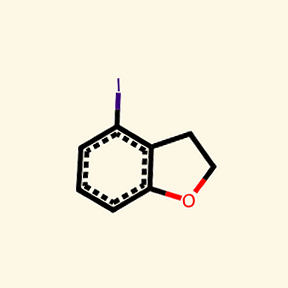 Ic1cccc2c1CCO2